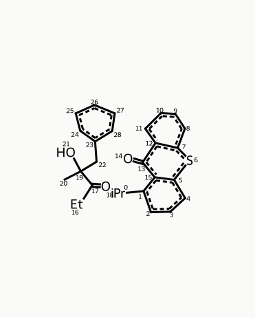 CC(C)c1cccc2sc3ccccc3c(=O)c12.CCC(=O)C(C)(O)Cc1ccccc1